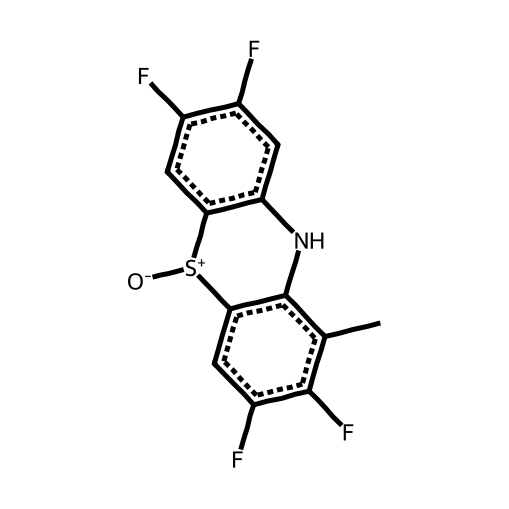 Cc1c(F)c(F)cc2c1Nc1cc(F)c(F)cc1[S+]2[O-]